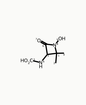 CC1(C)C(NC(=O)O)C(=O)N1O